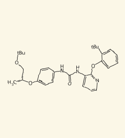 CC(COC(C)(C)C)Oc1ccc(NC(=O)Nc2cccnc2Oc2ccccc2C(C)(C)C)cc1